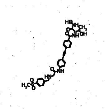 C[C@@H](O)[C@H](NC(=O)c1ccc(C#Cc2ccc(NC(=O)CNCc3ccc(S(C)(=O)=O)cc3)cc2)cc1)C(=O)NO